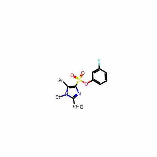 CCn1c(C=O)nc(S(=O)(=O)Oc2cccc(F)c2)c1C(C)C